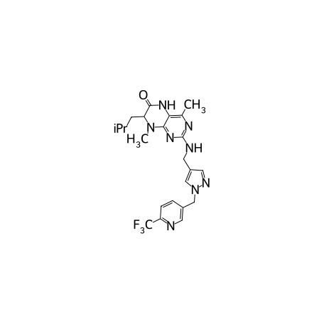 Cc1nc(NCc2cnn(Cc3ccc(C(F)(F)F)nc3)c2)nc2c1NC(=O)C(CC(C)C)N2C